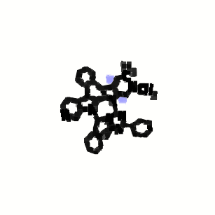 C=N/C=c1\c(=C/C)c2c3ccccc3c3c4ccncc4n(-c4ccccc4)c3c2n1-c1nc(-c2ccccc2)nc(-c2ccccc2)n1